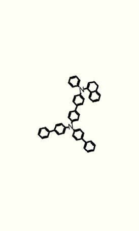 C1=C(N(c2ccccc2)c2ccc(-c3ccc(N(c4ccc(-c5ccccc5)cc4)c4ccc(-c5ccccc5)cc4)cc3)cc2)c2ccccc2CC1